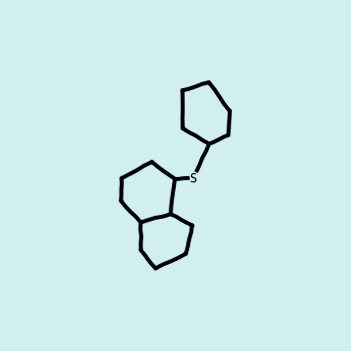 C1CCC(SC2CCCC3CCCCC32)CC1